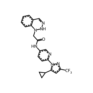 O=C(CN1NN=Cc2ccccc21)Nc1ccc(-n2nc(C(F)(F)F)cc2C2CC2)nc1